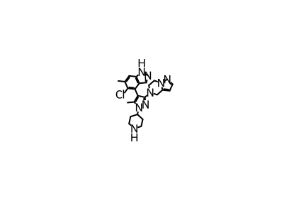 Cc1cc2[nH]ncc2c(-c2c(N3CCn4nccc4C3)nn(C3CCNCC3)c2C)c1Cl